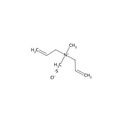 C=CC[N+](C)(C)CC=C.[Cl-].[S]